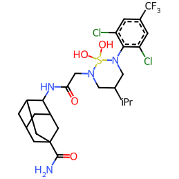 CC(C)C1CN(CC(=O)NC2C3CC4CC2CC(C(N)=O)(C4)C3)S(O)(O)N(c2c(Cl)cc(C(F)(F)F)cc2Cl)C1